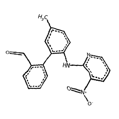 Cc1ccc(Nc2ncccc2[N+](=O)[O-])c(-c2ccccc2C=O)c1